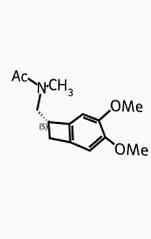 COc1cc2c(cc1OC)[C@@H](CN(C)C(C)=O)C2